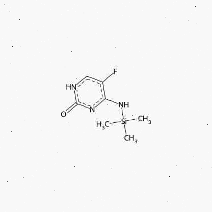 C[Si](C)(C)Nc1nc(=O)[nH]cc1F